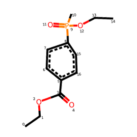 CCOC(=O)c1ccc(P(C)(=O)OCC)cc1